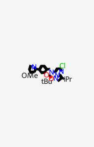 COc1cccnc1-c1ccc(CN(C(=O)OC(C)(C)C)c2cc(Cl)nc3c(C(C)C)cnn23)cc1